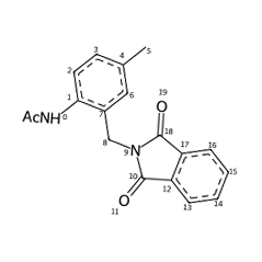 CC(=O)Nc1ccc(C)cc1CN1C(=O)c2ccccc2C1=O